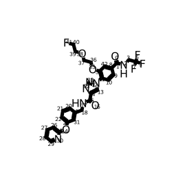 O=C(NCC(F)(F)F)c1ccc(-n2cc(C(=O)NCc3cccc(Oc4ccccn4)c3)nn2)c(OCCOCCF)c1